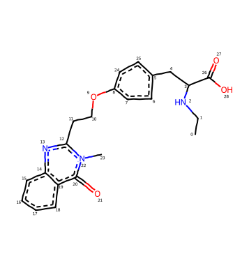 CCNC(Cc1ccc(OCCc2nc3ccccc3c(=O)n2C)cc1)C(=O)O